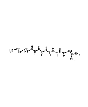 BBBBBBBBBBBBBBBBB(B)C